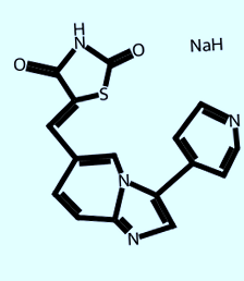 O=C1NC(=O)C(=Cc2ccc3ncc(-c4ccncc4)n3c2)S1.[NaH]